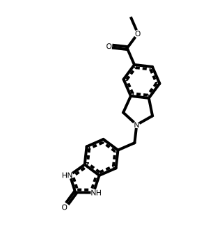 COC(=O)c1ccc2c(c1)CN(Cc1ccc3[nH]c(=O)[nH]c3c1)C2